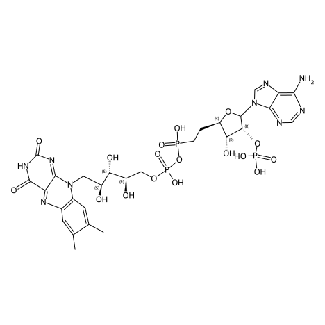 Cc1cc2nc3c(=O)[nH]c(=O)nc-3n(C[C@H](O)[C@H](O)[C@H](O)COP(=O)(O)OP(=O)(O)CC[C@H]3OC(n4cnc5c(N)ncnc54)[C@H](OP(=O)(O)O)[C@@H]3O)c2cc1C